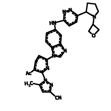 CC(=O)c1ccc(-n2cnc3cc(Nc4ccc(C5CCCN5C5COC5)nn4)ccc32)nc1-n1nc(C#N)cc1C